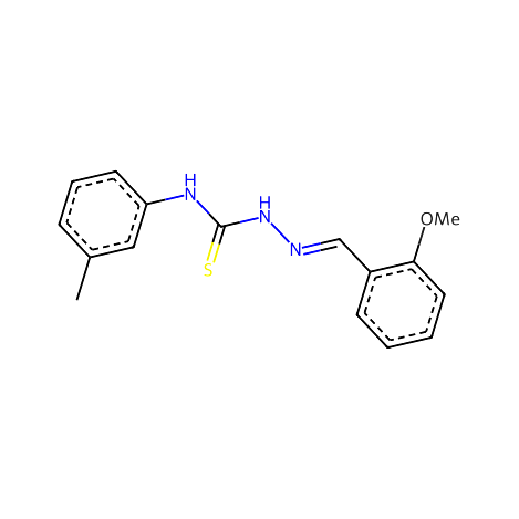 COc1ccccc1/C=N/NC(=S)Nc1cccc(C)c1